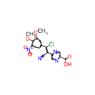 COc1cc(C(Cl)=C(C#N)c2cnc(C(=O)O)cn2)cc([N+](=O)[O-])c1OC